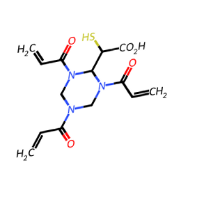 C=CC(=O)N1CN(C(=O)C=C)C(C(S)C(=O)O)N(C(=O)C=C)C1